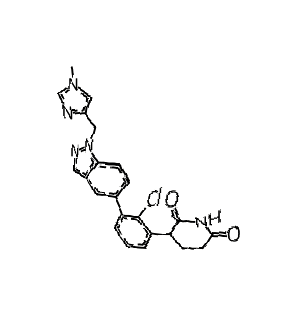 Cn1cnc(Cn2ncc3cc(-c4cccc(C5CCC(=O)NC5=O)c4Cl)ccc32)c1